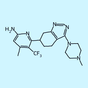 Cc1cc(N)nc(C2CCc3c(ncnc3N3CCN(C)CC3)C2)c1C(F)(F)F